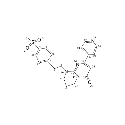 CS(=O)(=O)c1ccc(CCN2CCCn3c2nc(-c2ccncc2)cc3=O)cc1